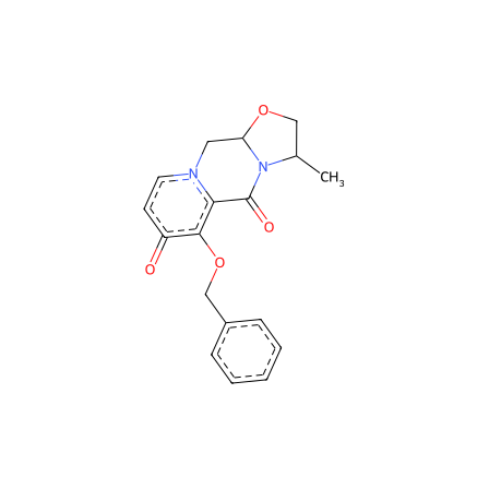 CC1COC2Cn3ccc(=O)c(OCc4ccccc4)c3C(=O)N12